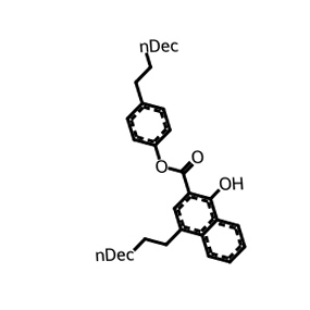 CCCCCCCCCCCCc1ccc(OC(=O)c2cc(CCCCCCCCCCCC)c3ccccc3c2O)cc1